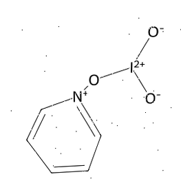 [O-][I+2]([O-])O[n+]1ccccc1